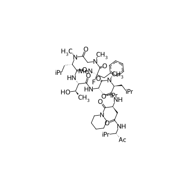 CN[C@@](F)(Cc1ccccc1)C(=O)N(C)CC(=O)N(C)[C@@H](CC(C)C)C(=O)N[C@H](C(=O)N[C@@H](CC(C)C)C(=O)N(C)[C@@H](CC(C)C)C(=O)N[C@@H](CC(=O)N[C@H](C(C)=O)C(C)C)C(=O)N1CCCCC1)[C@@H](C)O